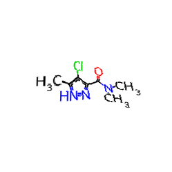 Cc1[nH]nc(C(=O)N(C)C)c1Cl